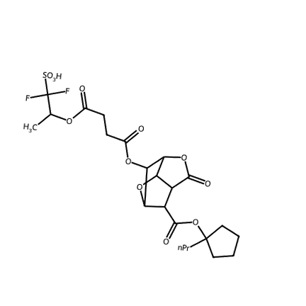 CCCC1(OC(=O)C2C3OC4C(OC(=O)C42)C3OC(=O)CCC(=O)OC(C)C(F)(F)S(=O)(=O)O)CCCC1